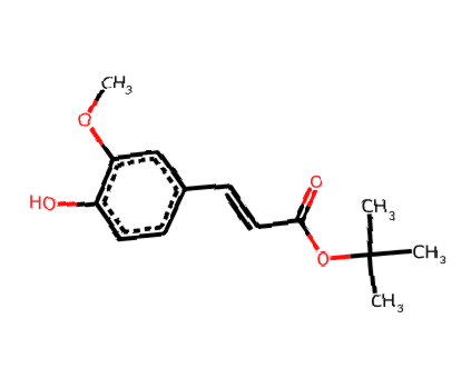 COc1cc(/C=C/C(=O)OC(C)(C)C)ccc1O